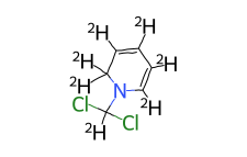 [2H]C1=C([2H])N(C([2H])(Cl)Cl)C([2H])([2H])C([2H])=C1[2H]